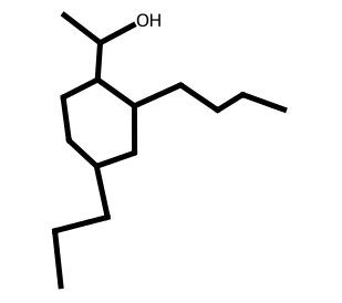 CCCCC1CC(CCC)CCC1C(C)O